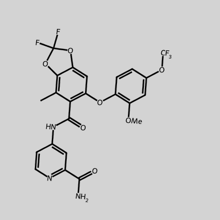 COc1cc(OC(F)(F)F)ccc1Oc1cc2c(c(C)c1C(=O)Nc1ccnc(C(N)=O)c1)OC(F)(F)O2